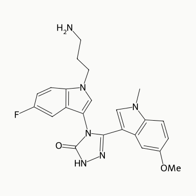 COc1ccc2c(c1)c(-c1n[nH]c(=O)n1-c1cn(CCCN)c3ccc(F)cc13)cn2C